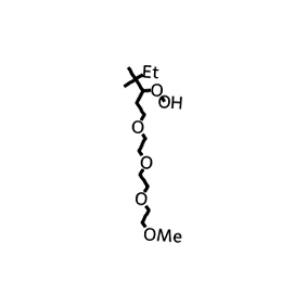 CCC(C)(C)C(CCOCCOCCOCCOC)OO